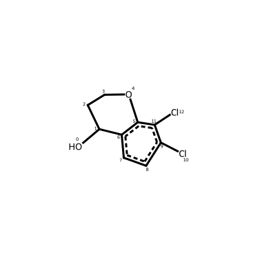 OC1CCOc2c1ccc(Cl)c2Cl